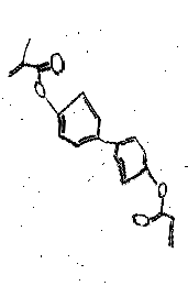 C=CC(=O)Oc1ccc(-c2ccc(OC(=O)C(=C)C)cc2)cc1